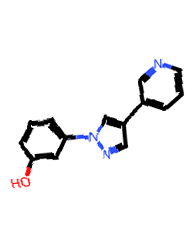 Oc1cccc(-n2cc(-c3cccnc3)cn2)c1